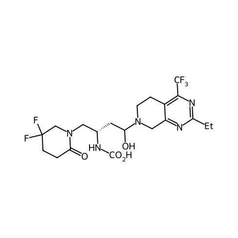 CCc1nc2c(c(C(F)(F)F)n1)CCN(C(O)C[C@@H](CN1CC(F)(F)CCC1=O)NC(=O)O)C2